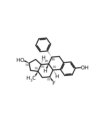 C[C@@]12C[C@@H](O)C[C@H]1[C@H]1[C@@H](c3ccc(O)cc3C[C@H]1c1ccccc1)[C@@H](F)C2